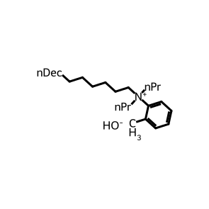 CCCCCCCCCCCCCCCC[N+](CCC)(CCC)c1ccccc1C.[OH-]